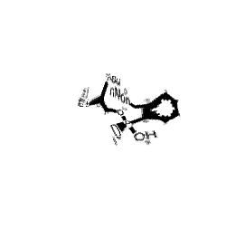 CCCCCCCCCc1ccccc1P(=O)(O)OCC(CC)CCCC